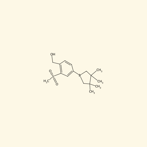 CC1(C)CB(c2ccc(CO)c(S(C)(=O)=O)c2)CC1(C)C